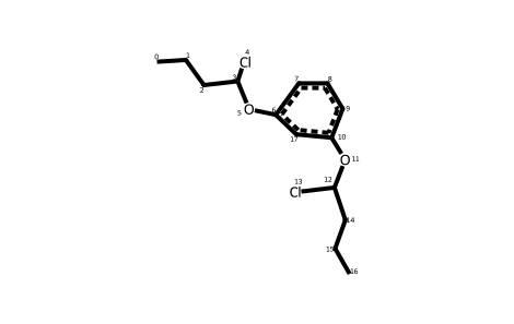 CCCC(Cl)Oc1cccc(OC(Cl)CCC)c1